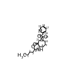 CCCCC(=O)NC1CCCN(S(=O)(=O)c2ccccn2)CC1=O